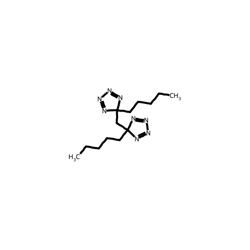 CCCCCC1(CC2(CCCCC)N=NN=N2)N=NN=N1